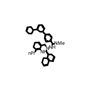 CCCC1=C(N)C(CN(CC2CC=CC3=C2CCC=C3)NC(NC)c2ccc(C3C=CC=C(C4CC=CCC4)C3)cc2)=CCC1